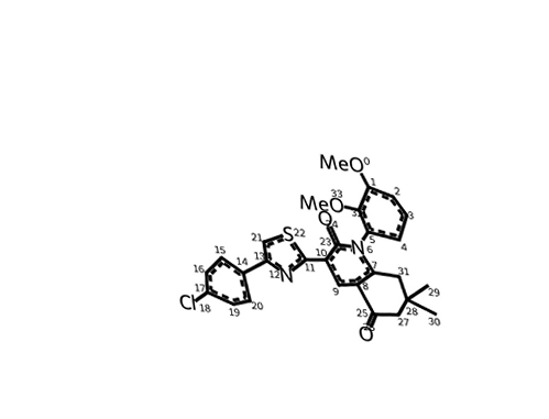 COc1cccc(-n2c3c(cc(-c4nc(-c5ccc(Cl)cc5)cs4)c2=O)C(=O)CC(C)(C)C3)c1OC